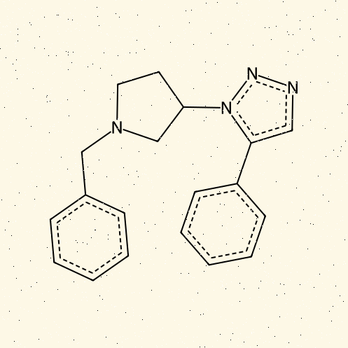 c1ccc(CN2CCC(n3nncc3-c3ccccc3)C2)cc1